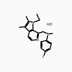 CCn1c(C)c(C)c2ccnc(CN(C)c3ccc(F)cc3)c21.Cl